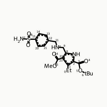 CCc1c(C(=O)OC(C)(C)C)[nH]c(CNCc2ccc(S(N)(=O)=O)cc2)c1C(=O)OC